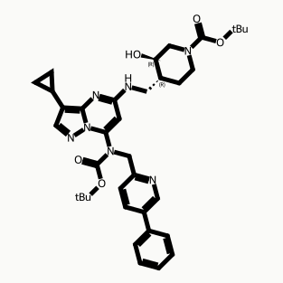 CC(C)(C)OC(=O)N1CC[C@H](CNc2cc(N(Cc3ccc(-c4ccccc4)cn3)C(=O)OC(C)(C)C)n3ncc(C4CC4)c3n2)[C@@H](O)C1